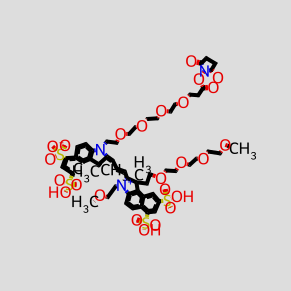 COCCOCCOCCOCCC1(C)C(/C=C/C=C2/N(CCOCCOCCOCCOCCC(=O)ON3C(=O)CCC3=O)c3ccc4c(S(=O)(=O)[O-])cc(S(=O)(=O)O)cc4c3C2(C)C)=[N+](CCOC)c2ccc3c(S(=O)(=O)O)cc(S(=O)(=O)O)cc3c21